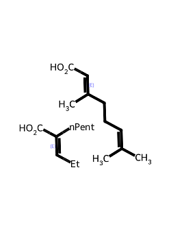 CC(C)=CCC/C(C)=C/C(=O)O.CC/C=C(\CCCCC)C(=O)O